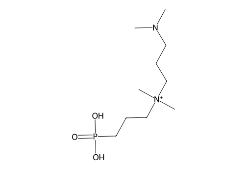 CN(C)CCC[N+](C)(C)CCCP(=O)(O)O